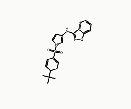 CC(C)(C)C1C=CC(S(=O)(=O)n2ccc(Nc3noc4cccnc34)c2)=CC1